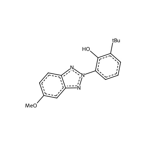 COc1ccc2nn(-c3cccc(C(C)(C)C)c3O)nc2c1